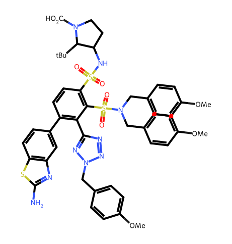 COc1ccc(CN(Cc2ccc(OC)cc2)S(=O)(=O)c2c(S(=O)(=O)NC3CCN(C(=O)O)C3C(C)(C)C)ccc(-c3ccc4sc(N)nc4c3)c2-c2nnn(Cc3ccc(OC)cc3)n2)cc1